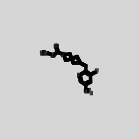 CC(C)(C)OC(=O)N1CC2(CC(Cc3ncc(C(F)(F)F)cc3F)C2)C1